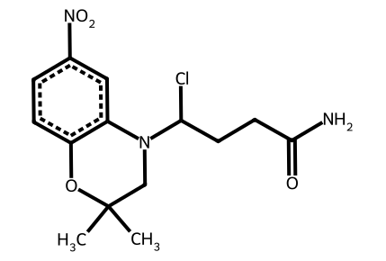 CC1(C)CN(C(Cl)CCC(N)=O)c2cc([N+](=O)[O-])ccc2O1